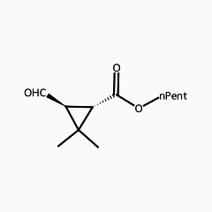 CCCCCOC(=O)[C@H]1[C@H](C=O)C1(C)C